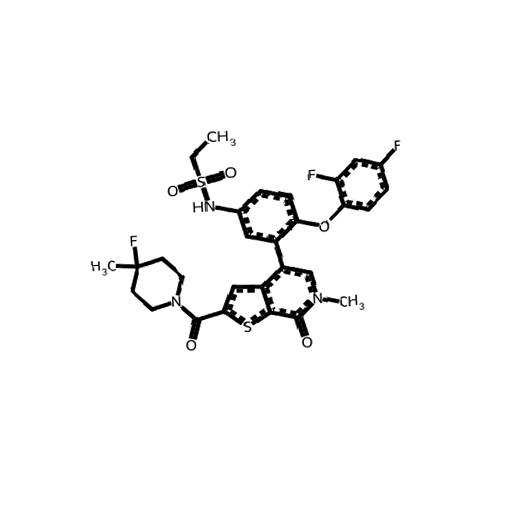 CCS(=O)(=O)Nc1ccc(Oc2ccc(F)cc2F)c(-c2cn(C)c(=O)c3sc(C(=O)N4CCC(C)(F)CC4)cc23)c1